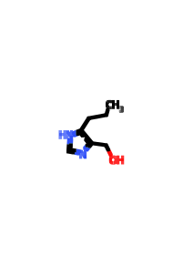 CCCc1[nH]cnc1CO